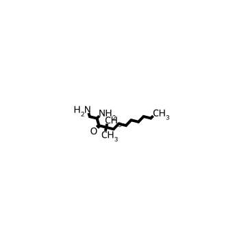 CCCCCCCCC(C)(C)C(=O)C(N)CN